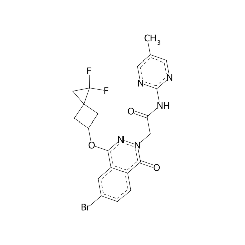 Cc1cnc(NC(=O)Cn2nc(OC3CC4(C3)CC4(F)F)c3cc(Br)ccc3c2=O)nc1